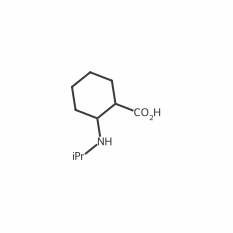 CC(C)NC1CCCCC1C(=O)O